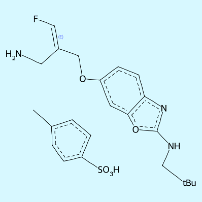 CC(C)(C)CNc1nc2ccc(OC/C(=C/F)CN)cc2o1.Cc1ccc(S(=O)(=O)O)cc1